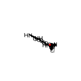 CNCCCCCC(=O)NCCOCCOCCOCCOCCNC(=O)CN1c2ccc(Cl)cc2N=C(N2CCN(C)CC2)c2ccccc21